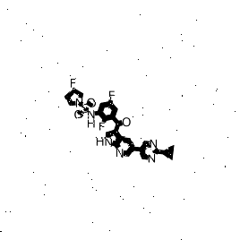 O=C(c1cc(F)cc(NS(=O)(=O)N2CC[C@@H](F)C2)c1F)c1c[nH]c2ncc(-c3cnc(C4CC4)nc3)cc12